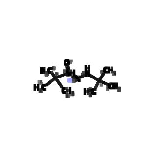 CC(C)(C)N/N=[SH](=O)/C(C)(C)C